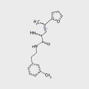 C/C(=C\C(=N)C(=O)NCCc1cccc(C)c1)c1ccco1